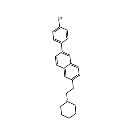 N#Cc1ccc(-c2ccc3cc(CCN4CCCCC4)nnc3c2)cc1